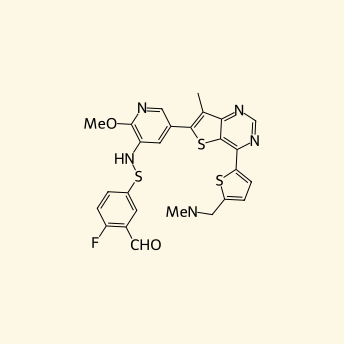 CNCc1ccc(-c2ncnc3c(C)c(-c4cnc(OC)c(NSc5ccc(F)c(C=O)c5)c4)sc23)s1